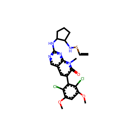 C=CSNC1CCCC1Nc1ncc2cc(-c3c(Cl)c(OC)cc(OC)c3Cl)c(=O)n(C)c2n1